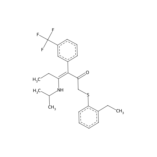 CCC(NC(C)C)=C(C(=O)CSc1ccccc1CC)c1cccc(C(F)(F)F)c1